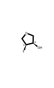 O[C@@H]1COC[C@@H]1F